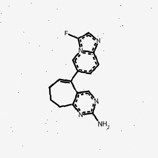 Nc1ncc2c(n1)CCCC=C2c1ccc2ncc(F)n2c1